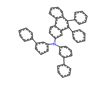 c1ccc(-c2cccc(N(c3cccc(-c4ccccc4)c3)c3ccc4c(c3)c(-c3ccccc3)c(-c3ccccc3)c3ccccc34)c2)cc1